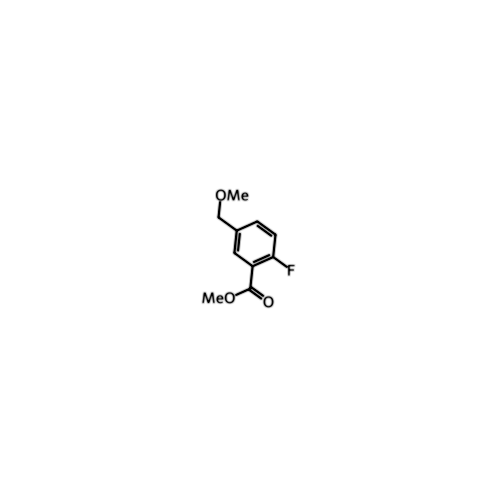 COCc1ccc(F)c(C(=O)OC)c1